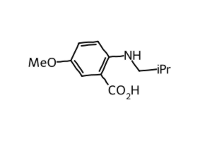 COc1ccc(NCC(C)C)c(C(=O)O)c1